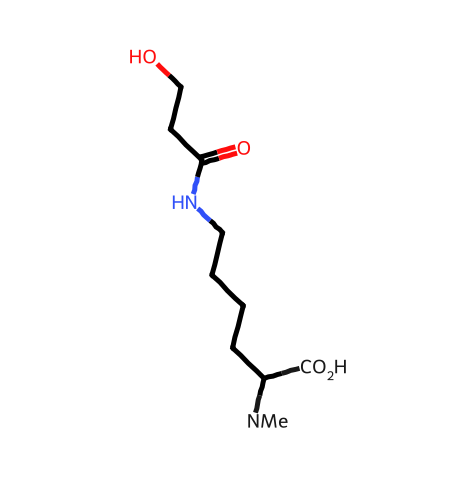 CNC(CCCCNC(=O)CCO)C(=O)O